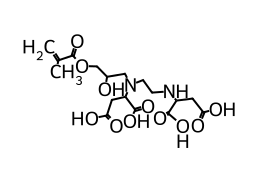 C=C(C)C(=O)OCC(O)CN(CCNC(CC(=O)O)C(=O)O)C(CC(=O)O)C(=O)O